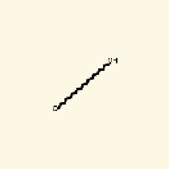 [O]CCCCCCCCCCCCCCCCCCCO